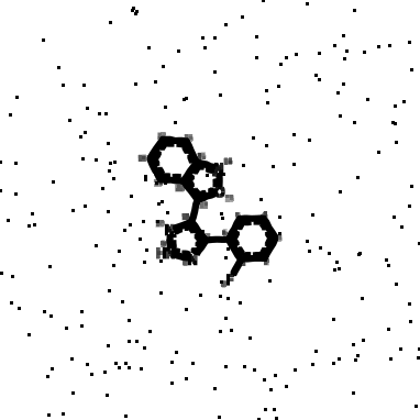 Fc1ccccc1-c1n[nH]nc1-c1onc2ccccc12